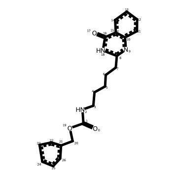 O=C(NCCCCCc1nc2ccccc2c(=O)[nH]1)OCc1ccccc1